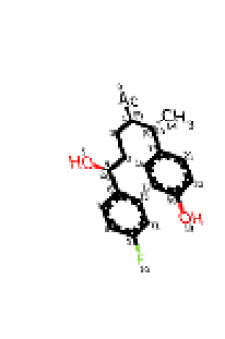 CC(=O)[C@H](CC[C@H](O)c1ccc(F)cc1)[C@H](C)c1ccc(O)cc1